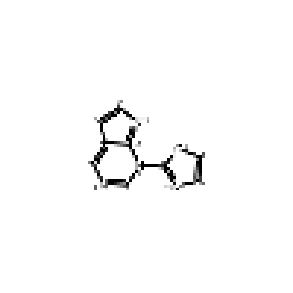 c1coc(-n2cncc3ccnc2-3)n1